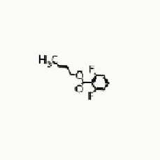 CC=CCOC(=O)c1c(F)cccc1F